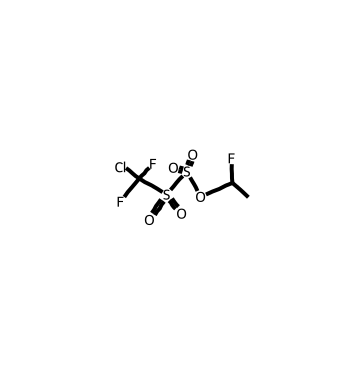 CC(F)OS(=O)(=O)S(=O)(=O)C(F)(F)Cl